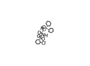 O=C(NS(=O)(=O)c1ccccc1Cl)C1=NOC(c2ccccc2)(c2ccccc2)C1